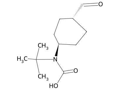 CC(C)(C)N(C(=O)O)[C@H]1CC[C@H](C=O)CC1